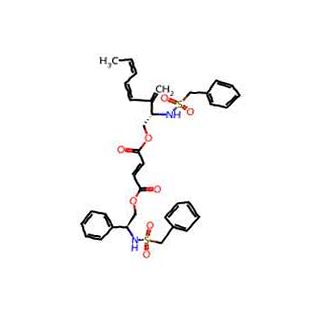 C=C(/C=C\C=C/C)[C@@H](COC(=O)/C=C/C(=O)OC[C@@H](NS(=O)(=O)Cc1ccccc1)c1ccccc1)NS(=O)(=O)Cc1ccccc1